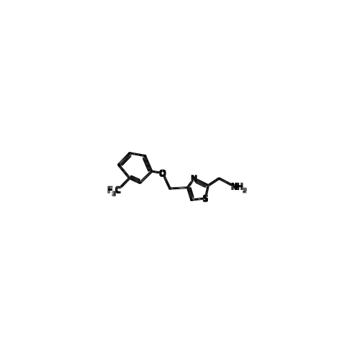 NCc1nc(COc2cccc(C(F)(F)F)c2)cs1